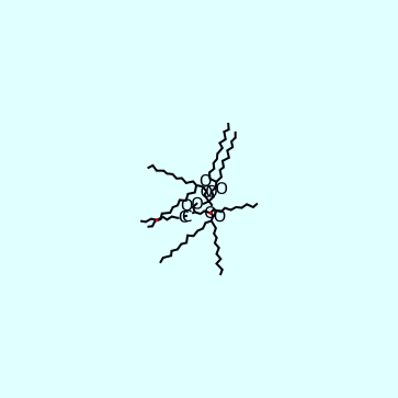 CCCCCCCCCCCCC(CCCCCCCCCC)C(=O)OCC(COC(=O)C(CCCCCCCCCC)CCCCCCCCCCCC)(COC(=O)C(CCCCCCCCCC)CCCCCCCCCCCC)COC(=O)C(CCCCCCCCCC)CCCCCCCCCCCC